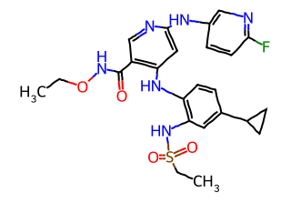 CCONC(=O)c1cnc(Nc2ccc(F)nc2)cc1Nc1ccc(C2CC2)cc1NS(=O)(=O)CC